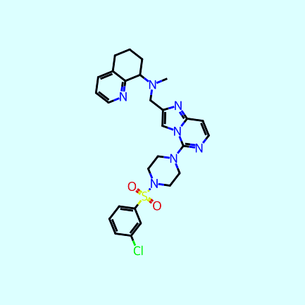 CN(Cc1cn2c(N3CCN(S(=O)(=O)c4cccc(Cl)c4)CC3)nccc2n1)C1CCCc2cccnc21